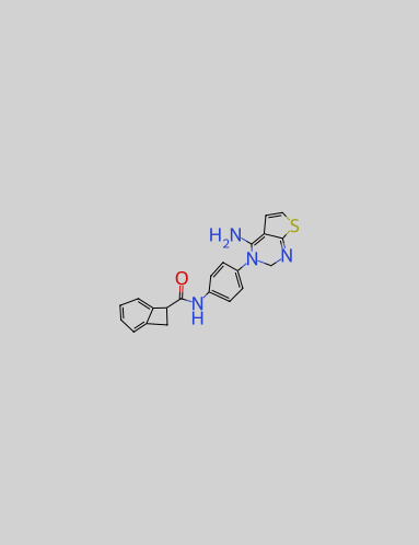 NC1=c2ccsc2=NCN1c1ccc(NC(=O)C2Cc3ccccc32)cc1